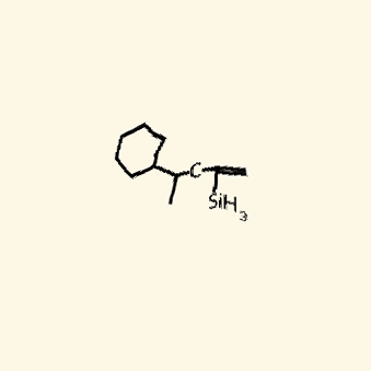 C=C([SiH3])CC(C)C1CCCCC1